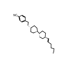 N#Cc1ccc(CC[C@H]2CC[C@H]([C@H]3CC[C@H](C=CCCCF)CC3)CC2)cc1